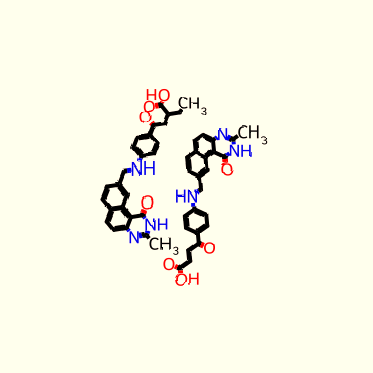 CCC(CC(=O)c1ccc(NCc2ccc3ccc4nc(C)[nH]c(=O)c4c3c2)cc1)C(=O)O.Cc1nc2ccc3ccc(CNc4ccc(C(=O)CCC(=O)O)cc4)cc3c2c(=O)[nH]1